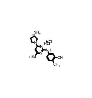 CCCCc1cc(N2CC[C@H](N)C2)nc(Nc2ccc(C)c(C#N)c2)n1.Cl.Cl